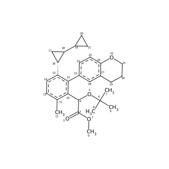 COC(=O)C(OC(C)(C)C)c1c(C)ccc([C@@H]2CC2C2CC2)c1-c1ccc2c(c1)CCCO2